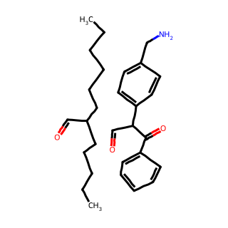 CCCCCCC(C=O)CCCCC.NCc1ccc(C(C=O)C(=O)c2ccccc2)cc1